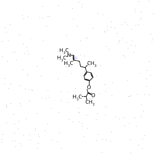 C/C(=C\N(C)C)CCC(C)c1ccc(OCC(=O)C(C)C)cc1